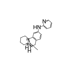 CC1CCC[C@]23CCCC[C@H]2[C@H]1Cc1ccc(Nc2ccccn2)cc13